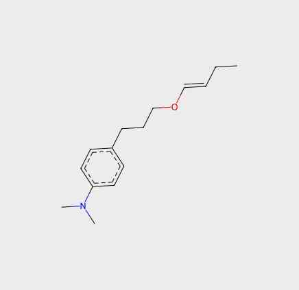 CCC=COCCCc1ccc(N(C)C)cc1